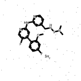 COc1cc(F)ccc1-c1cc(Nc2cc(CNSN(C)C)ccn2)ncc1F.S